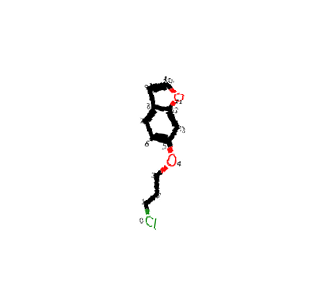 ClCCCOc1ccc2ccoc2c1